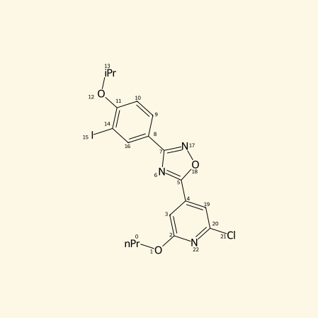 CCCOc1cc(-c2nc(-c3ccc(OC(C)C)c(I)c3)no2)cc(Cl)n1